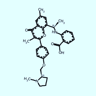 Cc1cc([C@@H](C)Nc2ccccc2C(=O)O)c2oc(-c3ccc(OC[C@H]4CCCN4C)cc3)c(C)c(=O)c2c1